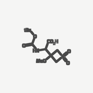 COC1(C(NC(=O)OC(C)(C)C)C(=O)O)CS(=O)(=O)C1